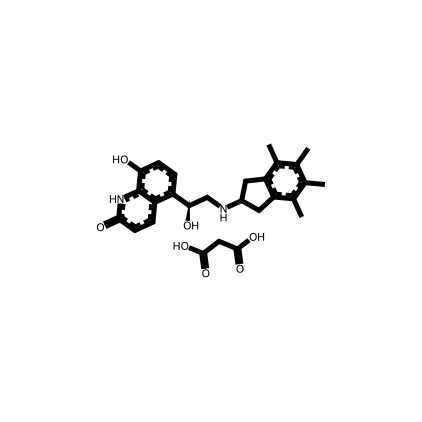 Cc1c(C)c(C)c2c(c1C)CC(NC[C@@H](O)c1ccc(O)c3[nH]c(=O)ccc13)C2.O=C(O)CC(=O)O